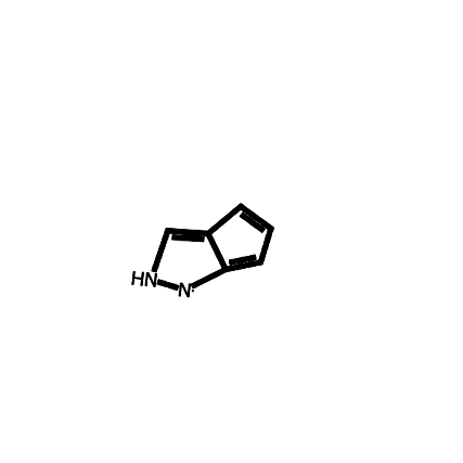 C1=CC2=CN[N]C2=C1